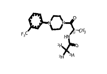 [2H]C([2H])([2H])C(=O)N[C@@H](C)C(=O)N1CCN(c2cccc(C(F)(F)F)c2)CC1